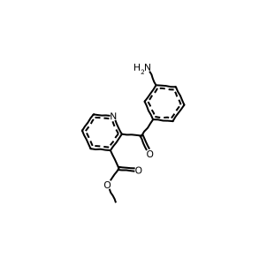 COC(=O)c1cccnc1C(=O)c1cccc(N)c1